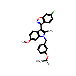 CC[C@@H](Oc1cccc(Cn2c(C)c(-c3noc4cc(Cl)ccc34)c3ccc(OC(F)(F)F)cc32)c1)C(=O)O